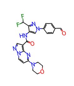 O=Cc1ccc(-n2cc(NC(=O)c3cnn4ccc(N5CCOCC5)nc34)c(C(F)F)n2)cc1